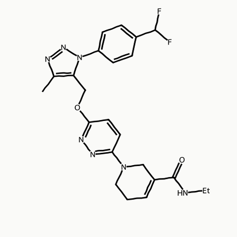 CCNC(=O)C1=CCCN(c2ccc(OCc3c(C)nnn3-c3ccc(C(F)F)cc3)nn2)C1